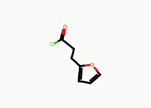 O=C(Cl)CCc1ccco1